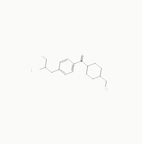 CC(CC(=O)O)Cc1ccc(C(=O)C2CCC(CN)CC2)cc1